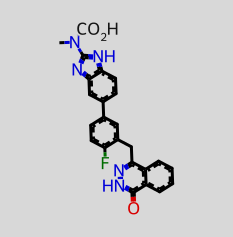 CN(C(=O)O)c1nc2cc(-c3ccc(F)c(Cc4n[nH]c(=O)c5ccccc45)c3)ccc2[nH]1